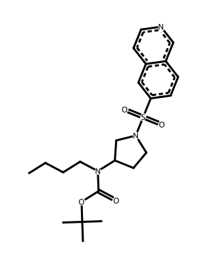 CCCCN(C(=O)OC(C)(C)C)C1CCN(S(=O)(=O)c2ccc3cnccc3c2)C1